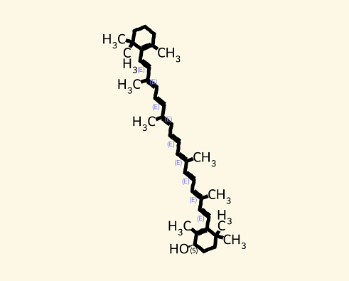 CC1=C(/C=C/C(C)=C/C=C/C(C)=C/C=C/C=C(C)/C=C/C=C(C)/C=C/C2=C(C)[C@@H](O)CCC2(C)C)C(C)(C)CCC1